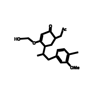 COc1cc(CC(C)C2CC(CC(C)=O)C(=O)C=C2OCO)ccc1C